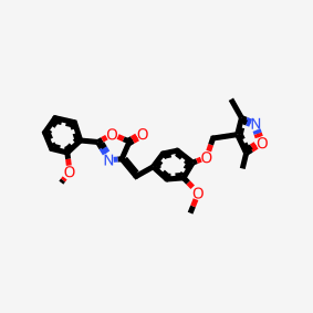 COc1cc(C=C2N=C(c3ccccc3OC)OC2=O)ccc1OCc1c(C)noc1C